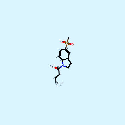 CS(=O)(=O)C1=CC2CCN(C(=O)CCC(=O)O)C2C=C1